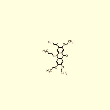 CCCCn1c2cc(OCC)c(OCC)cc2c(=O)c2cc(OCC)c(OCC)cc21